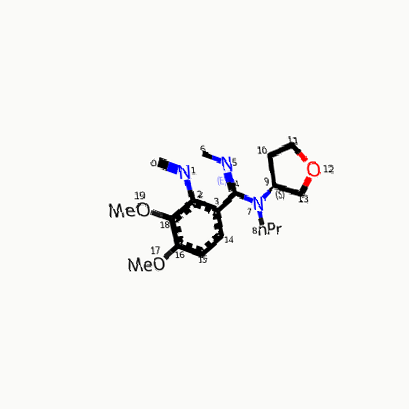 C=Nc1c(/C(=N\C)N(CCC)[C@H]2CCOC2)ccc(OC)c1OC